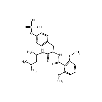 COc1cccc(OC)c1C(=O)NC(Cc1ccc(OP(=O)(O)O)cc1)C(=O)NC(C)CC(C)C